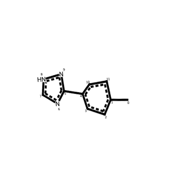 Cc1ccc(-c2nc[nH]n2)cc1